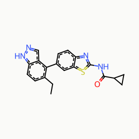 CCc1ccc2[nH]ncc2c1-c1ccc2nc(NC(=O)C3CC3)sc2c1